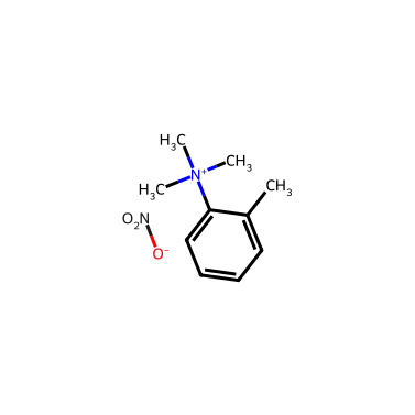 Cc1ccccc1[N+](C)(C)C.O=[N+]([O-])[O-]